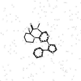 CCC12CCCCN1c1nc(-n3ccnc3-c3ccccc3)ncc1N(C)C2=O